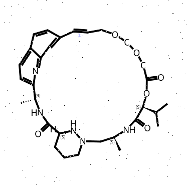 CC(C)[C@@H]1OC(=O)COCOC/C=C/c2ccc3ccc(nc3c2)[C@@H](C)NC(=O)[C@@H]2CCCN(C[C@H](C)NC1=O)N2